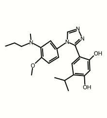 CCCN(C)c1cc(-n2cnnc2-c2cc(C(C)C)c(O)cc2O)ccc1OC